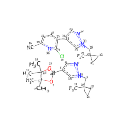 CC1(C)OB(c2cnn(CC3(C(F)(F)F)CC3)c2)OC1(C)C.N#Cc1ccc(-c2cnn(CC3(C(F)(F)F)CC3)c2)c(Cl)n1